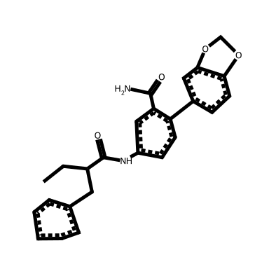 CCC(Cc1ccccc1)C(=O)Nc1ccc(-c2ccc3c(c2)OCO3)c(C(N)=O)c1